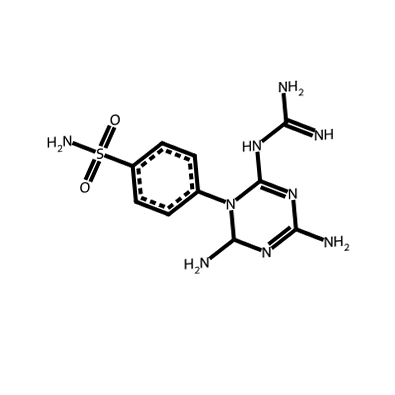 N=C(N)NC1=NC(N)=NC(N)N1c1ccc(S(N)(=O)=O)cc1